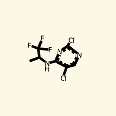 CC(Nc1nc(Cl)ncc1Cl)C(F)(F)F